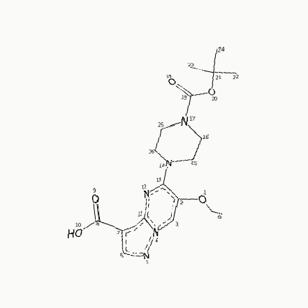 COc1cn2ncc(C(=O)O)c2nc1N1CCN(C(=O)OC(C)(C)C)CC1